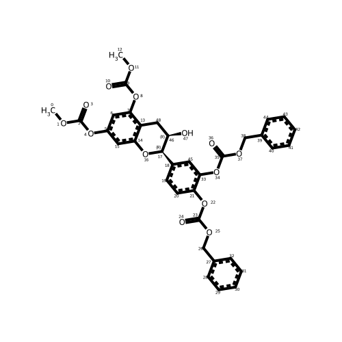 COC(=O)Oc1cc(OC(=O)OC)c2c(c1)O[C@H](c1ccc(OC(=O)OCc3ccccc3)c(OC(=O)OCc3ccccc3)c1)[C@H](O)C2